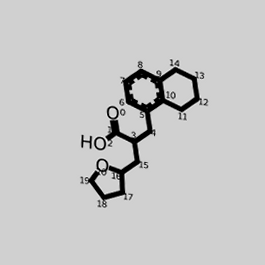 O=C(O)C(Cc1cccc2c1CCCC2)CC1CCCO1